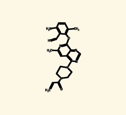 C=CC(=O)N1CCN(c2ncnc3c(Oc4c(C)ccc(N)c4C=N)nc(C)cc23)CC1